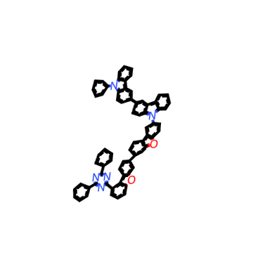 c1ccc(-c2nc(-c3ccccc3)nc(-c3cccc4oc5cc(-c6ccc7c(c6)oc6ccc(-n8c9ccccc9c9cc(-c%10ccc%11c(c%10)c%10ccccc%10n%11-c%10ccccc%10)ccc98)cc67)ccc5c34)n2)cc1